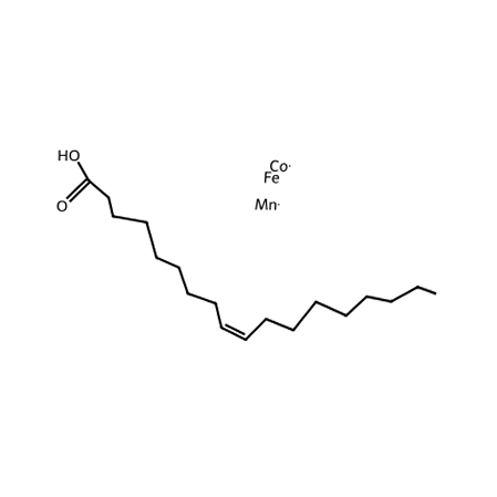 CCCCCCCC/C=C\CCCCCCCC(=O)O.[Co].[Fe].[Mn]